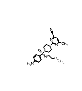 COCCN=S(=O)(c1ccc(N)cc1)N1CCN(c2nc(C)cc(C#N)n2)CC1